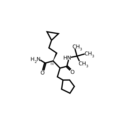 CC(C)(C)NC(=O)C(CC1CCCC1)[C@H](CCC1CC1)C(N)=O